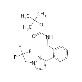 CC(C)(C)OC(=O)NCc1ccccc1-c1ccn(CC(F)(F)F)n1